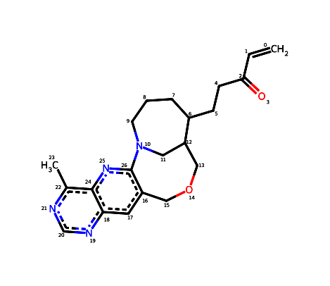 C=CC(=O)CCC1CCCN2CC1COCc1cc3ncnc(C)c3nc12